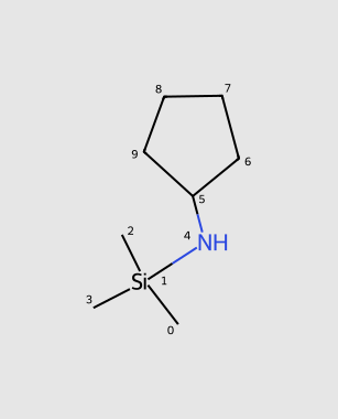 C[Si](C)(C)NC1CCCC1